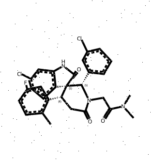 Cc1ccc(F)cc1[C@H]1CC(=O)N(CC(=O)N(C)C)[C@@H](c2cccc(Cl)c2)[C@]12C(=O)Nc1cc(Cl)ccc12